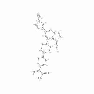 C=C(C(N)=O)c1ccc(N2CCC(c3cc(-c4cnn(C)c4)cn4ncc(C#N)c34)CC2)nc1